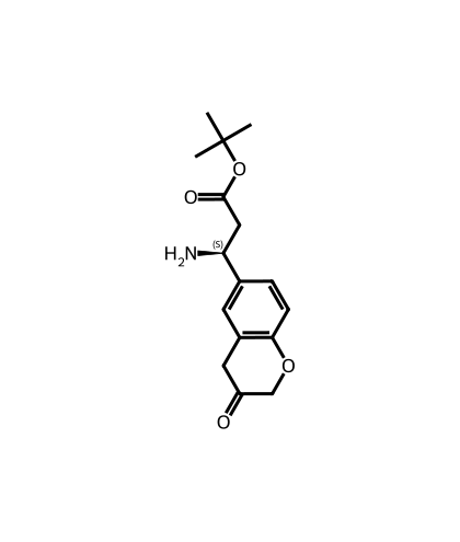 CC(C)(C)OC(=O)C[C@H](N)c1ccc2c(c1)CC(=O)CO2